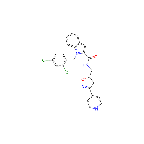 O=C(NCC1CC(c2ccncc2)=NO1)c1cc2ccccc2n1Cc1ccc(Cl)cc1Cl